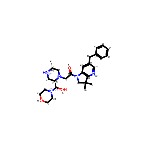 C[C@@H]1CN(CC(=O)N2CC(C)(C)c3ncc(Cc4ccccc4)cc32)[C@@H](C(O)N2CCOCC2)CN1